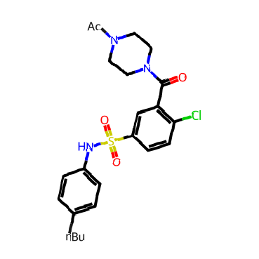 CCCCc1ccc(NS(=O)(=O)c2ccc(Cl)c(C(=O)N3CCN(C(C)=O)CC3)c2)cc1